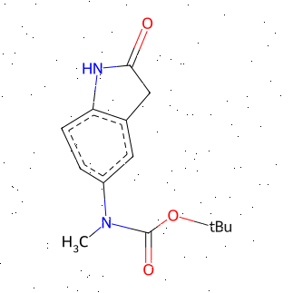 CN(C(=O)OC(C)(C)C)c1ccc2c(c1)CC(=O)N2